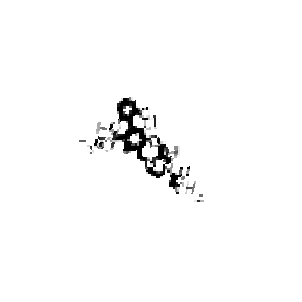 C=CC(=O)N1CCN2Cc3cc(COC)c(-c4c(O)cccc4Cl)c(Cl)c3OC[C@H]2C1